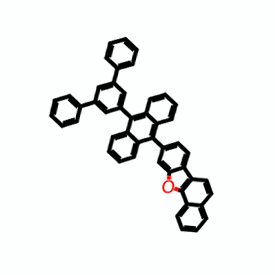 c1ccc(-c2cc(-c3ccccc3)cc(-c3c4ccccc4c(-c4ccc5c(c4)oc4c6ccccc6ccc54)c4ccccc34)c2)cc1